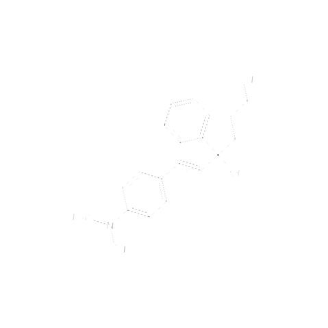 CCCCC(O)(/C=C/c1ccc(N(C)C)cc1)c1ccccc1